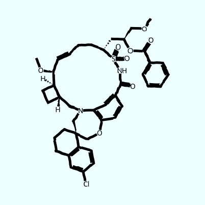 COC[C@H](C[C@H]1CC/C=C/[C@H](OC)[C@@H]2CC[C@H]2CN2C[C@@]3(CCCc4cc(Cl)ccc43)COc3ccc(cc32)C(=O)NS1(=O)=O)OC(=O)c1ccccc1